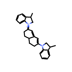 CC1CN(C2=CC3=C/C(=[N+]4\CC(C)c5ccccc54)CCC3CC2)c2ccccc21